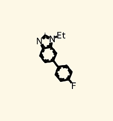 CCn1[c]nc2ccc(-c3ccc(F)cc3)cc21